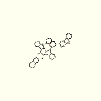 c1ccc(-n2c3ccccc3c3c4c(c5c6ccccc6n(-c6cccc(-c7cnc8sc9ccccc9c8c7)c6)c5c32)Cc2cc3ccccc3cc2C4)cc1